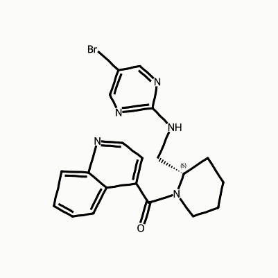 O=C(c1ccnc2ccccc12)N1CCCC[C@H]1CNc1ncc(Br)cn1